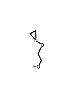 OCCON1CC1